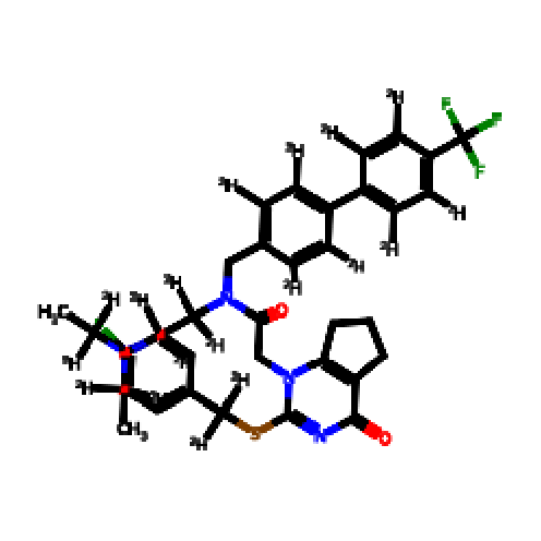 [2H]c1c([2H])c(-c2c([2H])c([2H])c(C(F)(F)F)c([2H])c2[2H])c([2H])c([2H])c1CN(C(=O)Cn1c(SC([2H])([2H])c2ccc(F)cc2)nc(=O)c2c1CCC2)C([2H])([2H])C([2H])([2H])N(C([2H])([2H])C)C([2H])([2H])C